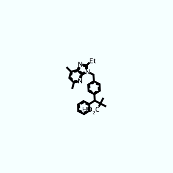 CCc1nc2c(C)cc(C)nc2n1Cc1ccc(C(c2ccccc2)C(C)(C)C(=O)O)cc1